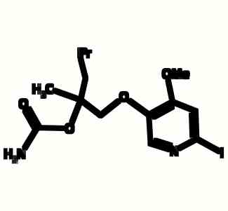 COc1cc(I)ncc1OCC(C)(CC(C)C)OC(N)=O